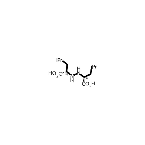 CC(C)C[C@H](NN[C@@H](CC(C)C)C(=O)O)C(=O)O